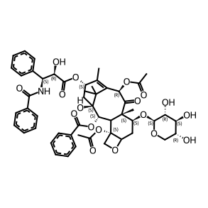 CC(=O)O[C@H]1C(=O)[C@@]2(C)C([C@H](OC(=O)c3ccccc3)[C@]3(O)C[C@H](OC(=O)[C@H](O)[C@@H](NC(=O)c4ccccc4)c4ccccc4)C(C)=C1C3(C)C)[C@]1(OC(C)=O)COC1C[C@@H]2O[C@@H]1OC[C@@H](O)[C@H](O)[C@H]1O